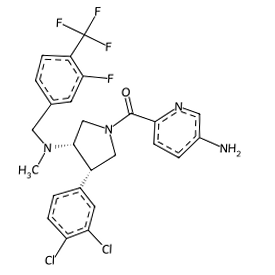 CN(Cc1ccc(C(F)(F)F)c(F)c1)[C@@H]1CN(C(=O)c2ccc(N)cn2)C[C@@H]1c1ccc(Cl)c(Cl)c1